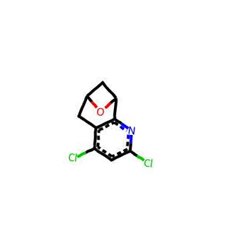 Clc1cc(Cl)c2c(n1)C1CC(C2)O1